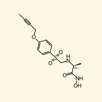 CC#CCOc1ccc(S(=O)(=O)CN[C@@H](C)C(=O)NO)cc1